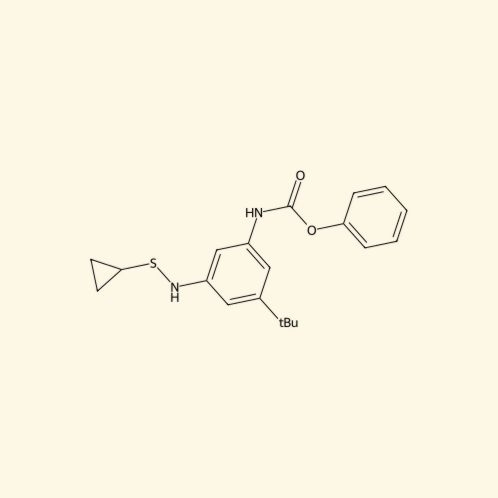 CC(C)(C)c1cc(NSC2CC2)cc(NC(=O)Oc2ccccc2)c1